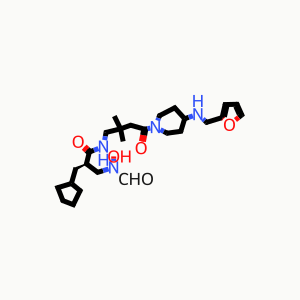 CC(C)(CNC(=O)[C@H](CC1CCCC1)CN(O)C=O)CC(=O)N1CCC(NCc2ccco2)CC1